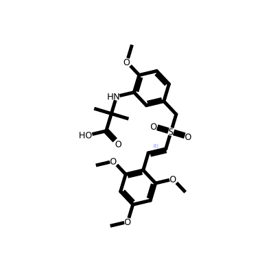 COc1cc(OC)c(/C=C/S(=O)(=O)Cc2ccc(OC)c(NC(C)(C)C(=O)O)c2)c(OC)c1